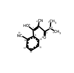 CN(C)C(=O)C(C#N)=C(O)c1ccccc1C#N